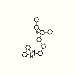 c1ccc(-c2ccc3sc4c(-c5cccc(-c6cccc(-c7cccc(-c8cnc9c%10ccccc%10c%10ccccc%10c9n8)c7)c6)c5)cc(-c5ccccc5)cc4c3c2)cc1